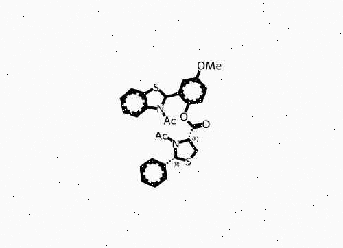 COc1ccc(OC(=O)[C@@H]2CS[C@H](c3ccccc3)N2C(C)=O)c(C2Sc3ccccc3N2C(C)=O)c1